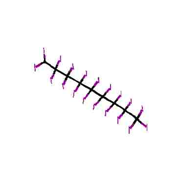 I[C](I)C(I)(I)C(I)(I)C(I)(I)C(I)(I)C(I)(I)C(I)(I)C(I)(I)C(I)(I)I